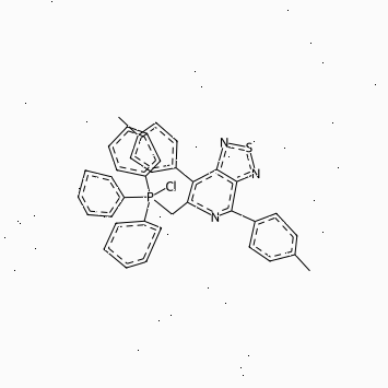 Cc1ccc(-c2nc(CP(Cl)(c3ccccc3)(c3ccccc3)c3ccccc3)c(-c3ccc(C)cc3)c3nsnc23)cc1